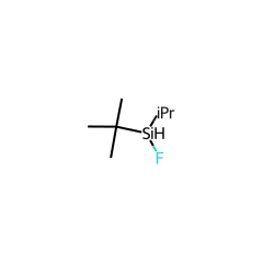 CC(C)[SiH](F)C(C)(C)C